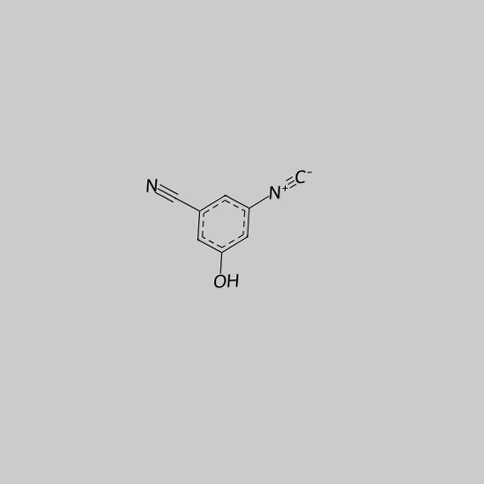 [C-]#[N+]c1cc(O)cc(C#N)c1